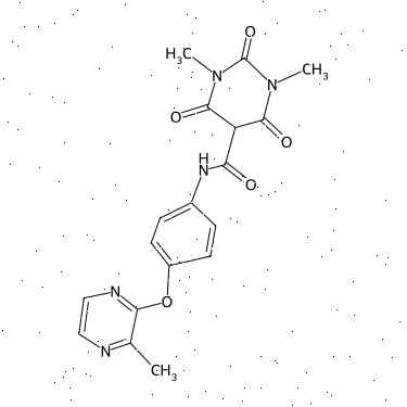 Cc1nccnc1Oc1ccc(NC(=O)C2C(=O)N(C)C(=O)N(C)C2=O)cc1